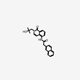 CC(C)(O)Cn1ccc2c(NC(=O)Cc3ccc4ccccc4c3)cccc2c1=O